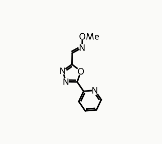 CON=Cc1nnc(-c2ccccn2)o1